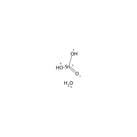 O.[O]=[Sn]([OH])[OH]